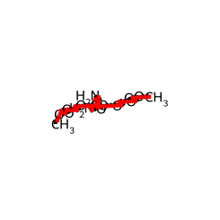 CCCCCOc1ccc(OC(=O)/C=C/c2ccc(OCCCCCCOC(=O)C(Cc3ccc(N)cc3)(Cc3ccc(N)cc3)C(=O)OCCCCCCOc3ccc(/C=C/C(=O)Oc4ccc(OCCCCC)cc4)cc3)cc2)cc1